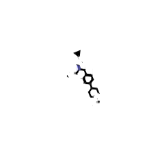 CCOC(=O)/C(=C/NC1CC1)C(=O)c1cc(F)c(C2CCN(C(C)=O)CC2)cc1F